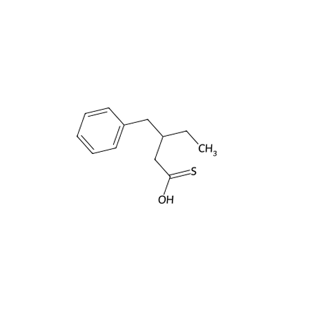 CCC(CC(O)=S)Cc1ccccc1